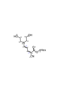 CCCCCCOC(=O)/C(C#N)=C\C=C\N(CCO)CCO